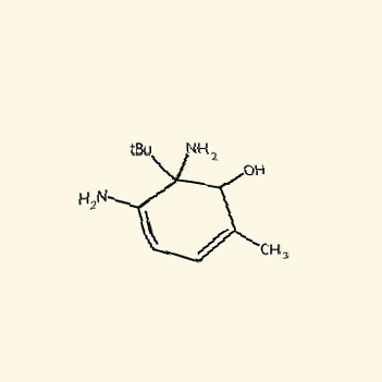 CC1=CC=C(N)C(N)(C(C)(C)C)C1O